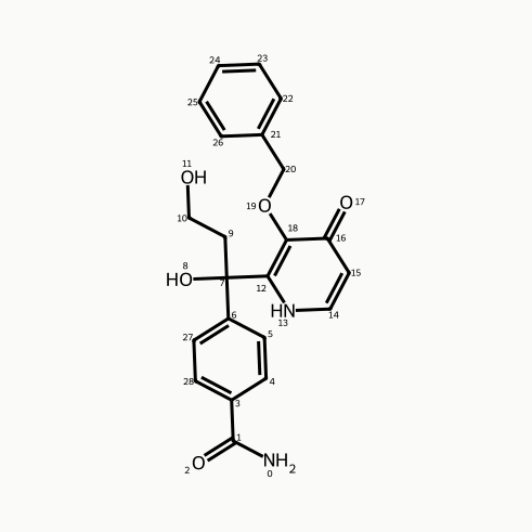 NC(=O)c1ccc(C(O)(CCO)c2[nH]ccc(=O)c2OCc2ccccc2)cc1